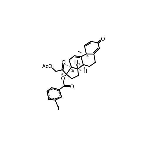 CC(=O)OCC(=O)[C@@]1(OC(=O)c2cccc(I)c2)CC[C@H]2[C@@H]3CCC4=CC(=O)C=C[C@]4(C)C3=CC[C@@]21C